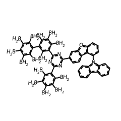 Bc1c(B)c(B)c(-c2nc(-c3ccc4c(c3)oc3cccc(-n5c6ccccc6c6ccccc65)c34)nc(-c3c(B)c(B)c(B)c(-c4c(B)c(B)c(B)c(B)c4B)c3B)n2)c(B)c1B